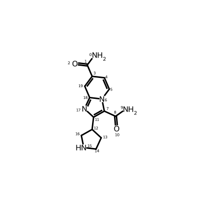 NC(=O)c1ccn2c(C(N)=O)c(C3CCNC3)nc2c1